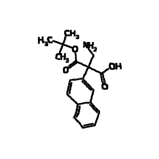 CC(C)(C)OC(=O)C(CN)(C(=O)O)c1ccc2ccccc2c1